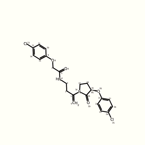 C=C(CCNC(=O)COc1ccc(Cl)cc1)N1CC[C@@H](Oc2ccc(Cl)cc2)C1=O